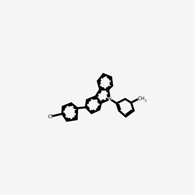 CC1C=CC=C(n2c3ccccc3c3cc(-c4ccc(Cl)cc4)ccc32)C1